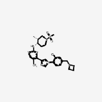 C[C@@H]1CN(S(C)(=O)=O)CC[C@@H]1Nc1ncc(C(F)(F)F)c(-c2cn(-c3ccc(CN4CCC4)cc3Cl)cn2)n1